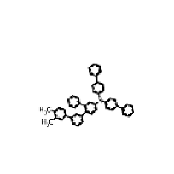 Cc1ccc(-c2cccc(-c3ccc(N(c4ccc(-c5ccccc5)cc4)c4ccc(-c5ccccc5)cc4)cc3-c3ccccc3)c2)cc1C